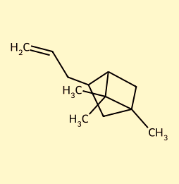 C=CCC1CC2(C)CC1C2(C)C